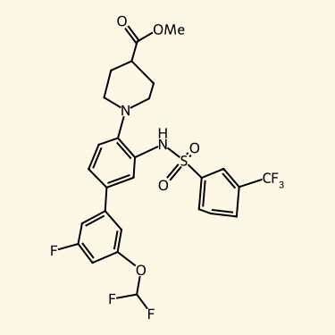 COC(=O)C1CCN(c2ccc(-c3cc(F)cc(OC(F)F)c3)cc2NS(=O)(=O)c2cccc(C(F)(F)F)c2)CC1